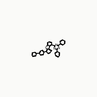 c1ccc(-c2ccc(-c3cccc4c3sc3cccc(-c5nc(-c6ccccc6)nc(-c6ccccc6)n5)c34)cc2)cc1